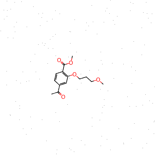 COCCCOc1cc(C(C)=O)ccc1C(=O)OC